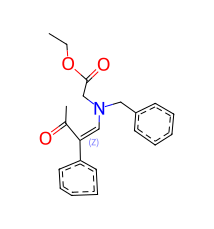 CCOC(=O)CN(/C=C(\C(C)=O)c1ccccc1)Cc1ccccc1